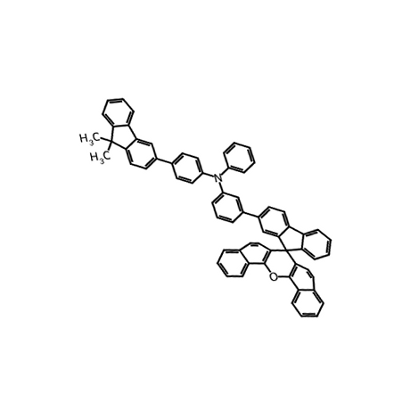 CC1(C)c2ccccc2-c2cc(-c3ccc(N(c4ccccc4)c4cccc(-c5ccc6c(c5)C5(c7ccccc7-6)c6ccc7ccccc7c6Oc6c5ccc5ccccc65)c4)cc3)ccc21